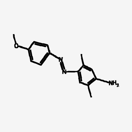 COc1ccc(N=Nc2cc(C)c(N)cc2C)cc1